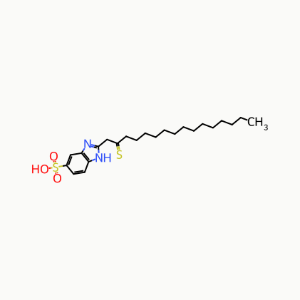 CCCCCCCCCCCCCCC(=S)Cc1nc2cc(S(=O)(=O)O)ccc2[nH]1